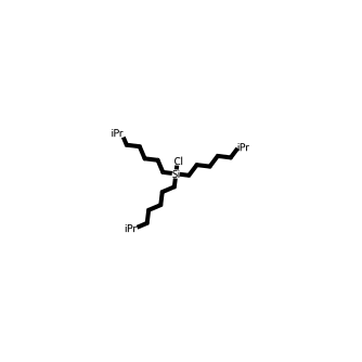 CC(C)CCCCC[Si](Cl)(CCCCCC(C)C)CCCCCC(C)C